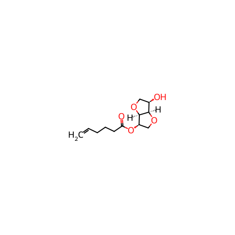 C=CCCCC(=O)O[C@@H]1CO[C@H]2[C@@H]1OC[C@H]2O